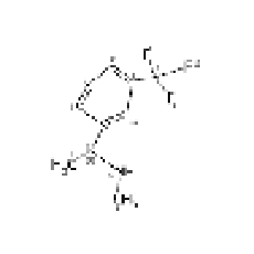 CN[C@H](C)c1cccc(C(F)(F)F)c1